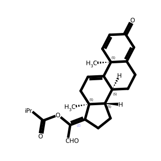 CC(C)C(=O)O/C(C=O)=C1/CC[C@H]2[C@@H]3CCC4=CC(=O)C=C[C@]4(C)C3=CC[C@]12C